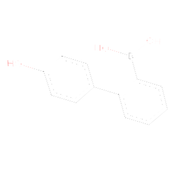 OB(O)c1ccccc1-c1ccc(O)cc1